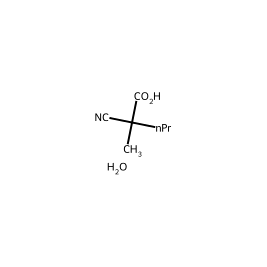 CCCC(C)(C#N)C(=O)O.O